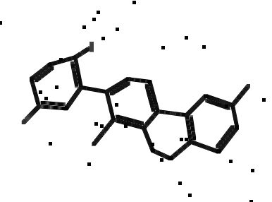 Cc1ccc(I)c(-c2ccc3c(c2C)CCc2ccc(C)cc2-3)c1